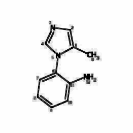 Cc1cncn1-c1ccccc1N